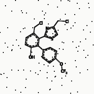 Oc1ccc(CCl)c(-c2nc(CCl)cs2)c1-c1ccc(OC(F)(F)F)cc1